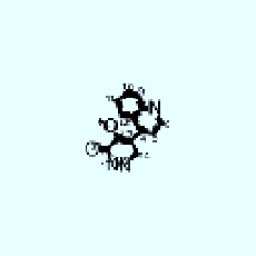 COC1=C(c2ccnc3ccccc23)C=N[N]C1=O